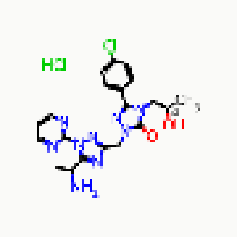 CC(N)c1nc(Cn2nc(-c3ccc(Cl)cc3)n(C[C@H](O)C(F)(F)F)c2=O)nn1-c1ncccn1.Cl